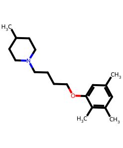 Cc1cc(C)c(C)c(OCCCCN2CCC(C)CC2)c1